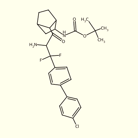 CC(C)(C)OC(=O)NC1CC2CCC1C2C(=O)C(N)C(F)(F)c1ccc(-c2ccc(Cl)cc2)cc1